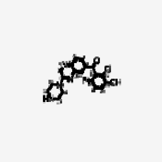 O=C(c1ccc2ncc(N3CCNCC3)nc2c1)c1c(F)ccc(O)c1Cl